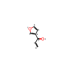 C=CC(=O)c1ccoc1